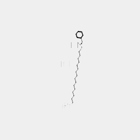 CC(C)CCCCCCCCCCCCCCCCCNCc1ccccc1.Cl